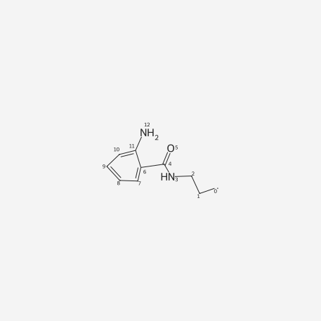 [CH2]CCNC(=O)c1ccccc1N